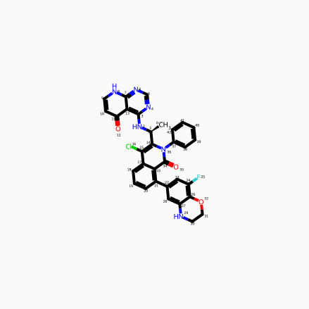 C[C@H](Nc1ncnc2[nH]ccc(=O)c12)c1c(Cl)c2cccc(-c3cc(F)c4c(c3)NCCO4)c2c(=O)n1-c1ccccc1